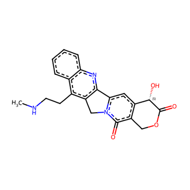 CNCCc1c2c(nc3ccccc13)-c1cc3c(c(=O)n1C2)COC(=O)[C@H]3O